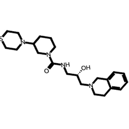 O=C(NC[C@H](O)CN1CCc2ccccc2C1)N1CCCC(N2CCSCC2)C1